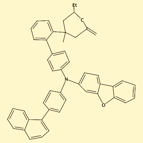 C=C1CC(CC)CC(C)(c2ccccc2-c2ccc(N(c3ccc(-c4cccc5ccccc45)cc3)c3ccc4c(c3)oc3ccccc34)cc2)C1